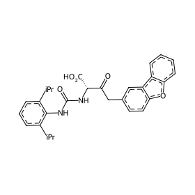 CC(C)c1cccc(C(C)C)c1NC(=O)N[C@H](C(=O)O)C(=O)Cc1ccc2oc3ccccc3c2c1